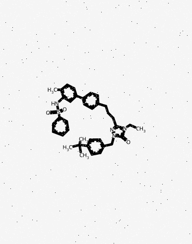 CCn1c(CCCc2ccc(-c3ccc(C)c(NS(=O)(=O)c4ccccc4)c3)cc2)nn(Cc2ccc(C(C)(C)C)cc2)c1=O